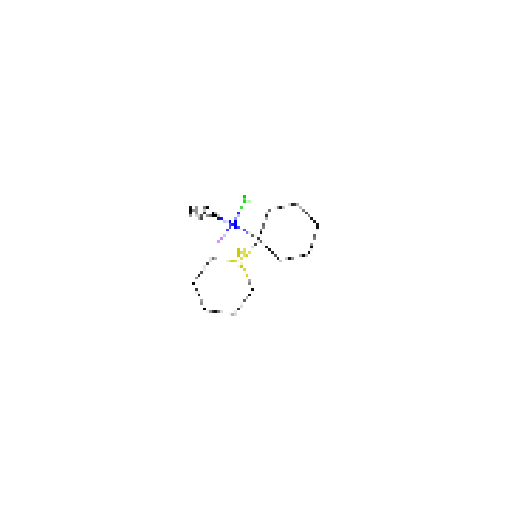 C[N@+](Cl)(I)C1([SH]2CCCCC2)CCCCC1